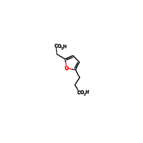 O=C(O)CCc1ccc(CC(=O)O)o1